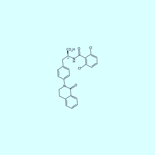 O=C(N[C@@H](Cc1ccc(N2CCc3ccccc3C2=O)cc1)C(=O)O)c1c(Cl)cccc1Cl